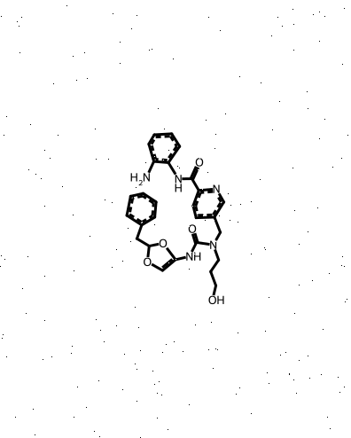 Nc1ccccc1NC(=O)c1ccc(CN(CCCO)C(=O)NC2=COC(Cc3ccccc3)O2)cn1